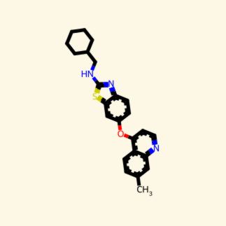 Cc1ccc2c(Oc3ccc4nc(NCC5CCCCC5)sc4c3)ccnc2c1